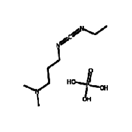 CCN=C=NCCCN(C)C.O=P(O)(O)O